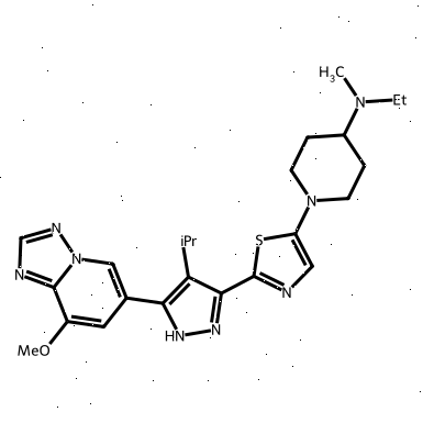 CCN(C)C1CCN(c2cnc(-c3n[nH]c(-c4cc(OC)c5ncnn5c4)c3C(C)C)s2)CC1